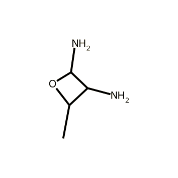 CC1OC(N)C1N